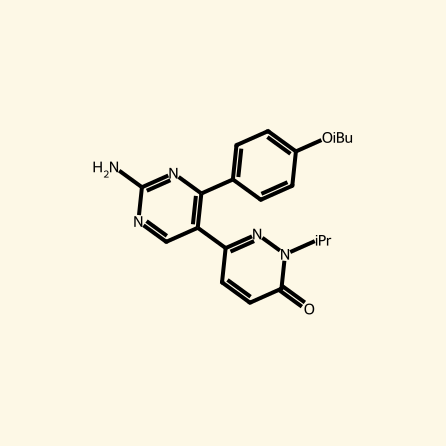 CC(C)COc1ccc(-c2nc(N)ncc2-c2ccc(=O)n(C(C)C)n2)cc1